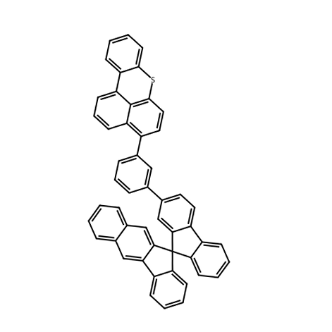 c1cc(-c2ccc3c(c2)C2(c4ccccc4-3)c3ccccc3-c3cc4ccccc4cc32)cc(-c2ccc3c4c(cccc24)-c2ccccc2S3)c1